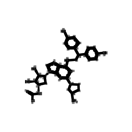 CCC(=O)N[C@H]1C[C@@H](n2cnc3c(NCC(c4ccc(O)cc4)c4ccc(O)cc4)nc(N4CCC(N)C4)nc32)[C@H](O)[C@@H]1O